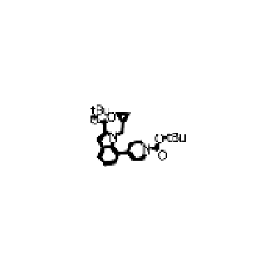 CC(C)(C)OC(=O)c1cc2cccc(C3=CCN(C(=O)OC(C)(C)C)CC3)c2n1CC1CC1